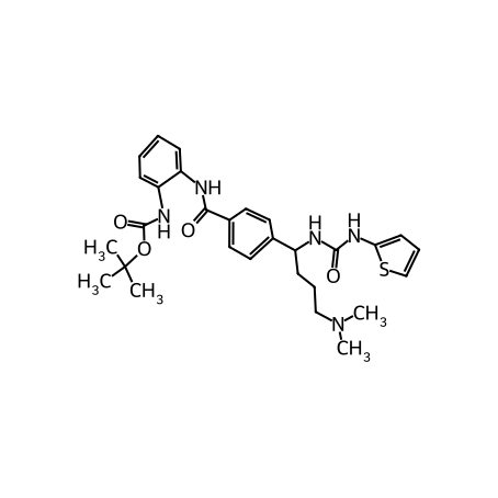 CN(C)CCCC(NC(=O)Nc1cccs1)c1ccc(C(=O)Nc2ccccc2NC(=O)OC(C)(C)C)cc1